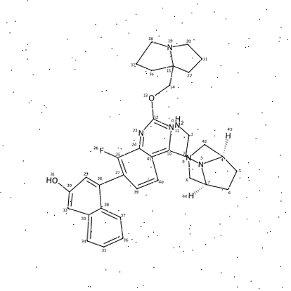 NCCN1[C@@H]2CC[C@H]1CN(c1nc(OCC34CCCN3CCC4)nc3c(F)c(-c4cc(O)cc5ccccc45)ccc13)C2